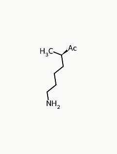 CC(=O)[C@H](C)CCCCN